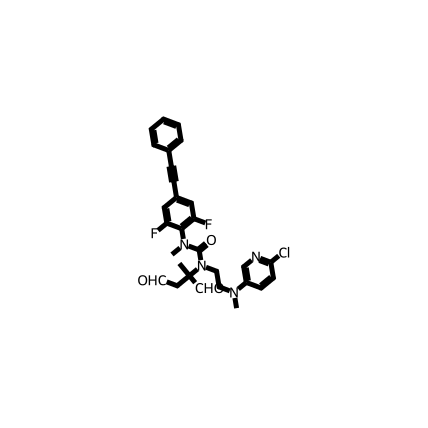 CN(CCN(C(=O)N(C)c1c(F)cc(C#Cc2ccccc2)cc1F)C(C)(C=O)CC=O)c1ccc(Cl)nc1